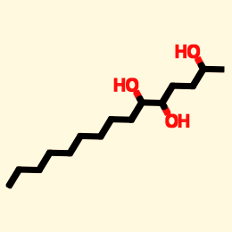 CCCCCCCCCC(O)C(O)CCC(C)O